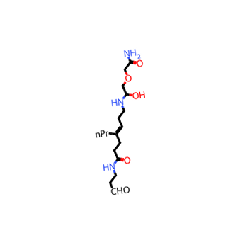 CCC/C(=C\CCNC(O)COCC(N)=O)CCC(=O)NCCC=O